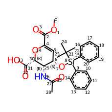 COC(=O)C1=C[C@H](O[Si](c2ccccc2)(c2ccccc2)C(C)(C)C)[C@H](NC(C)=O)[C@H](C(=O)O)O1